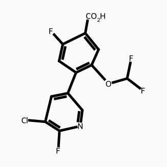 O=C(O)c1cc(OC(F)F)c(-c2cnc(F)c(Cl)c2)cc1F